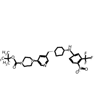 CC(C)(C)OC(=O)N1CCN(c2cncc(C[C@H]3CC[C@H](Nc4ccc([N+](=O)[O-])c(C(F)(F)F)c4)CC3)c2)CC1